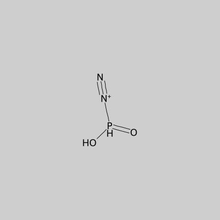 N#[N+][PH](=O)O